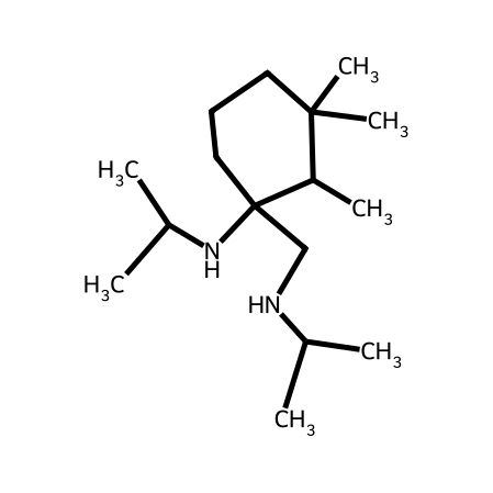 CC(C)NCC1(NC(C)C)CCCC(C)(C)C1C